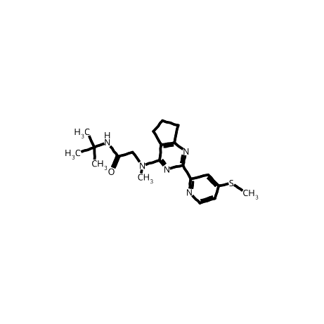 CSc1ccnc(-c2nc3c(c(N(C)CC(=O)NC(C)(C)C)n2)CCC3)c1